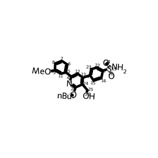 CCCCOc1nc(-c2cccc(OC)c2)cc(-c2ccc(S(N)(=O)=O)cc2)c1CO